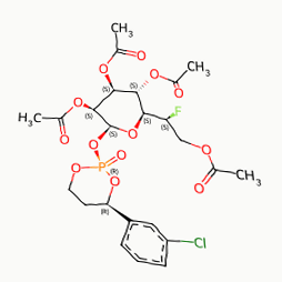 CC(=O)OC[C@H](F)[C@H]1O[C@@H](O[P@]2(=O)OCC[C@H](c3cccc(Cl)c3)O2)[C@@H](OC(C)=O)[C@@H](OC(C)=O)[C@@H]1OC(C)=O